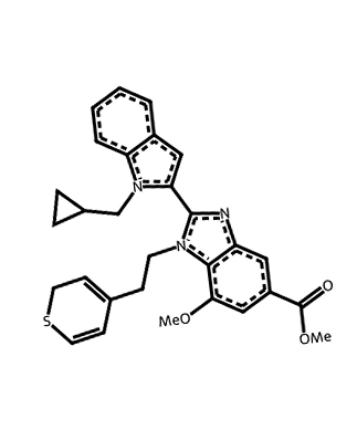 COC(=O)c1cc(OC)c2c(c1)nc(-c1cc3ccccc3n1CC1CC1)n2CCC1=CCSC=C1